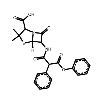 CC1(C)S[C@H]2C(NC(=O)C(C(=O)Oc3ccccc3)c3ccccc3)C(=O)N2C1C(=O)O